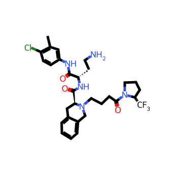 Cc1cc(NC(=O)[C@H](CCN)NC(=O)[C@@H]2Cc3ccccc3CN2CCCC(=O)N2CCCC2C(F)(F)F)ccc1Cl